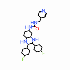 O=C(NCC1C=CN=CC1)NC1CCC2NC(C3CCC(F)CC3)C(C3CCC(F)CC3)NC2C1